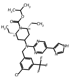 CC[C@@H]1CC(N(Cc2cc(Cl)cc(C(F)(F)F)c2)c2ncc(-c3c[nH]cn3)cn2)C[C@H](CC)N1C(=O)OC(C)C